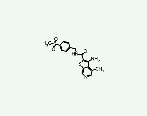 Cc1cncc2sc(C(=O)NCc3ccc(S(C)(=O)=O)cc3)c(N)c12